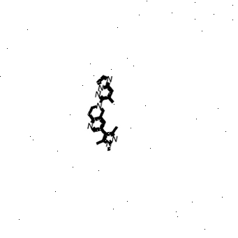 Cc1cc2nccn2nc1N1CCc2ncc(-c3c(C)nn(C)c3C)cc2C1